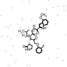 COc1cccc2[nH]c(C(=O)N[C@@H](CC(C)C)C(=O)N[C@@H](C[C@@H]3CCNC3=O)C(=O)COc3ccccc3F)cc12